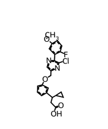 COc1ccc(F)c(-c2ncc(COc3cccc(C(CC(=O)O)C4CC4)c3)nc2Cl)c1